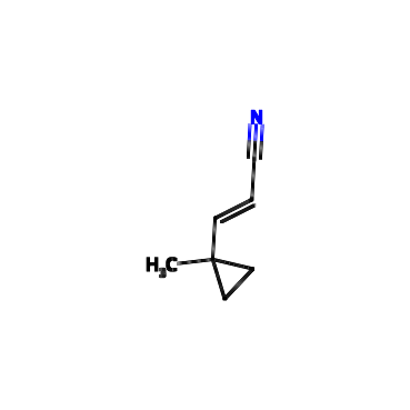 CC1(C=CC#N)CC1